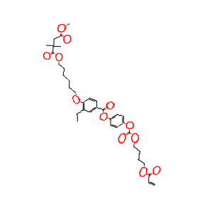 C=CC(=O)OCCCCOC(=O)Oc1ccc(OC(=O)c2ccc(OCCCCCCOC(=O)C(C)(C)CC(=O)OC)c(CC)c2)cc1